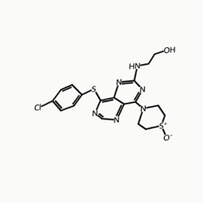 [O-][S+]1CCN(c2nc(NCCO)nc3c(Sc4ccc(Cl)cc4)ncnc23)CC1